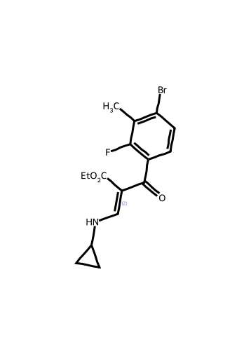 CCOC(=O)/C(=C\NC1CC1)C(=O)c1ccc(Br)c(C)c1F